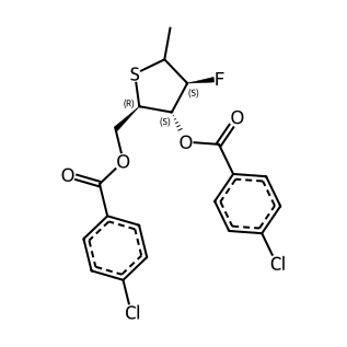 CC1S[C@H](COC(=O)c2ccc(Cl)cc2)[C@@H](OC(=O)c2ccc(Cl)cc2)[C@@H]1F